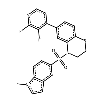 Cn1ccc2cc(S(=O)(=O)N3CCSc4ccc(-c5ccnc(F)c5F)cc43)ccc21